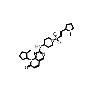 CC1CCCC1n1c(=O)ccc2cnc(NC3CCN(S(=O)(=O)/C=C/C4CCCN4C)CC3)nc21